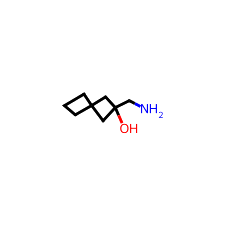 NCC1(O)CC2(CCC2)C1